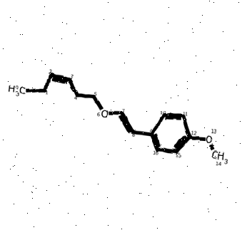 CC/C=C\CCOC=Cc1ccc(OC)cc1